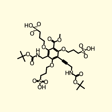 COC(=O)c1c(OCCCS(=O)(=O)O)c(C#CCNC(=O)OC(C)(C)C)c(OCCCS(=O)(=O)O)c(CNC(=O)OC(C)(C)C)c1OCCCS(=O)(=O)O